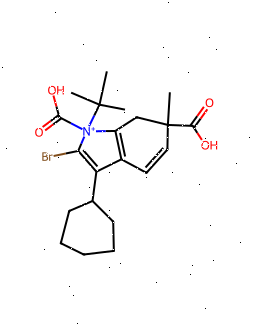 CC1(C(=O)O)C=CC2=C(C1)[N+](C(=O)O)(C(C)(C)C)C(Br)=C2C1CCCCC1